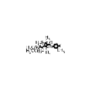 Cc1cc(NC(=O)c2c(C)c(C(=O)C(=O)NOC(C)(C)C)n(C)c2C)ccc1F